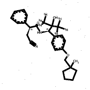 [2H]C([2H])([2H])C(O)([C@H](NC(=O)[C@@H](CC#N)c1ccccc1)c1ccc(OCC2(C)CCCC2)cc1)C([2H])([2H])[2H]